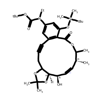 CCN(C(=O)OC(C)(C)C)c1cc2c(c(O[Si](C)(C)C(C)(C)C)c1)C(=O)OC(C)[C@H](C)/C=C\[C@@H](O)[C@H]1OC(C)(C)OC1CC#C2